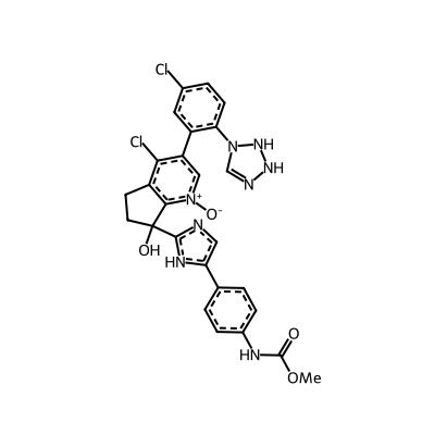 COC(=O)Nc1ccc(-c2cnc(C3(O)CCc4c(Cl)c(-c5cc(Cl)ccc5N5C=NNN5)c[n+]([O-])c43)[nH]2)cc1